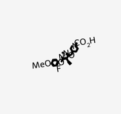 C#Cc1c(Oc2ccc(OC)cc2F)ncnc1OC1CCN(C(=O)O)CC1